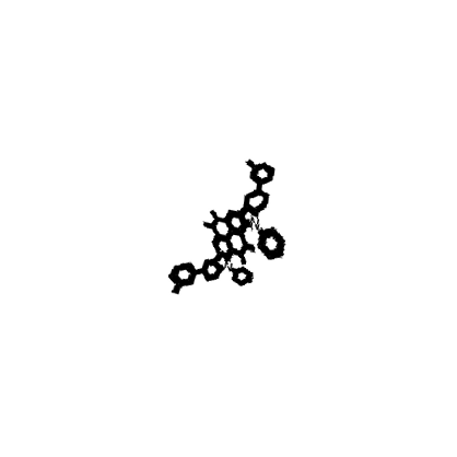 Cc1cccc(C2=Cc3c(n(-c4ccccc4)c4c5c6c(cc34)C(C)C(C)c3cc4c7cc(-c8cccc(C)c8)ccc7n(-c7ccccc7)c4c(c3-6)C(C)C5C)CC2)c1